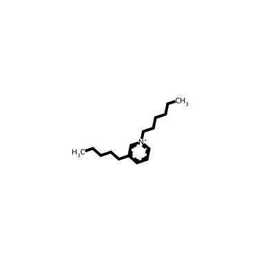 CCCCCC[n+]1cccc(CCCCC)c1